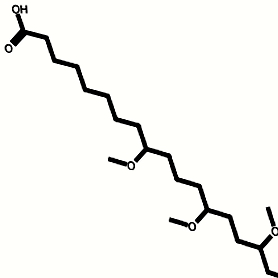 CCC(CCC(CCCC(CCCCCCCC(=O)O)OC)OC)OC